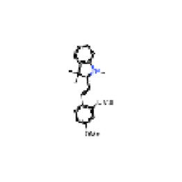 COc1ccc(C=CC2=[N+](C)c3ccccc3C2(C)C)c(OC)c1